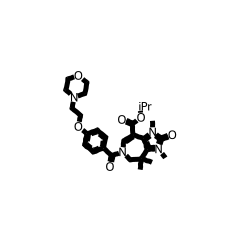 CC(C)OC(=O)C1=CN(C(=O)c2ccc(OCCN3CCOCC3)cc2)CC(C)(C)c2c1n(C)c(=O)n2C